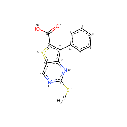 CSc1ncc2sc(C(=O)O)c(-c3ccccc3)c2n1